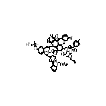 C=CCOC[C@H](COS(=O)(=O)c1ccc(C)cc1)Oc1c(Cl)c(C)c(-c2c(-c3ccc(F)cc3)oc3ncnc(O[C@H](Cc4cc(O[Si](C)(C)C(C)(C)C)ccc4OCc4ccnc(-c5ccccc5OC)n4)C(=O)O)c23)c(C)c1Cl